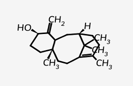 C=C1C2C[C@@H]3CCC(C)=C(CC[C@]2(C)CC[C@H]1O)C3(C)C